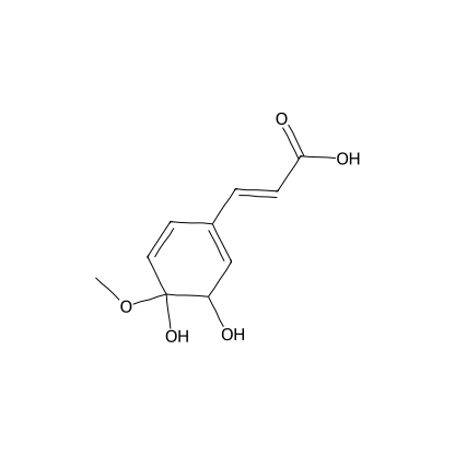 COC1(O)C=CC(C=CC(=O)O)=CC1O